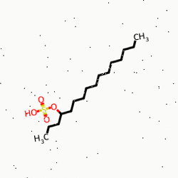 CCCCCCCCCCCCC(CCC)OS(=O)(=O)O